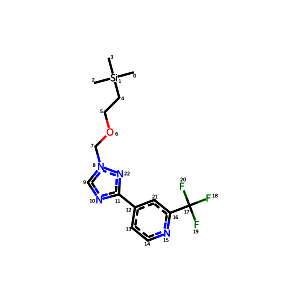 C[Si](C)(C)CCOCn1cnc(-c2ccnc(C(F)(F)F)c2)n1